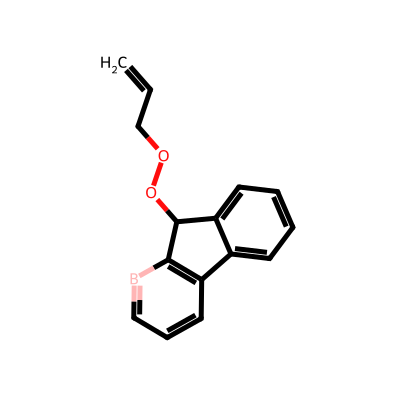 C=CCOOC1c2bcccc2-c2ccccc21